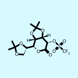 CC1(C)O[C@H]2[C@@H]([C@@H]3COC(C)(C)O3)OC(=O)[C@@H](OS(=O)(=O)C(F)(F)F)[C@H]2O1